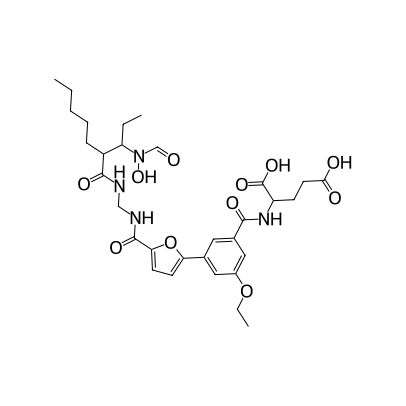 CCCCCC(C(=O)NCNC(=O)c1ccc(-c2cc(OCC)cc(C(=O)NC(CCC(=O)O)C(=O)O)c2)o1)C(CC)N(O)C=O